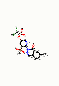 CCS(=O)(=O)c1cc(OS(=O)(=O)C(F)F)cnc1-n1ncc2ccc(C(F)(F)F)cc2c1=O